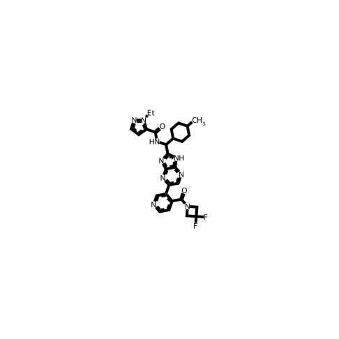 CCn1nccc1C(=O)NC(c1nc2nc(-c3cnccc3C(=O)N3CC(F)(F)C3)cnc2[nH]1)C1CCC(C)CC1